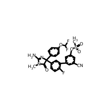 CN1C(=O)C(c2ccc(OC(F)F)cc2)(c2ccc(F)c(-c3cc(C#N)cc(OS(C)(=O)=O)c3)c2)N=C1N